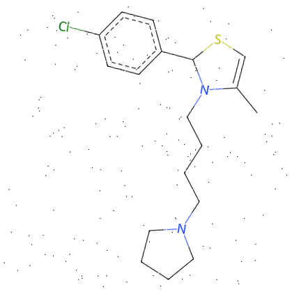 CC1=CSC(c2ccc(Cl)cc2)N1CCCCN1CCCC1